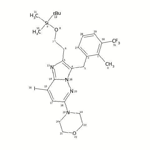 Cc1c(Cc2c(CCO[Si](C)(C)C(C)(C)C)nc3c(I)cc(N4CCOCC4)nn23)cccc1C(F)(F)F